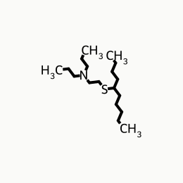 CCCCCC(CCCC)SCCN(CCC)CCC